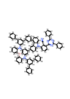 N#Cc1c(-c2nc(-c3ccccc3)nc(-c3ccccc3)n2)cccc1-n1c2ccccc2c2cc(-c3cc4c5c(c3)N(c3cc(-c6ccccc6)cc(-c6ccccc6)c3)c3ccccc3B5c3ccccc3N4c3cc(-c4ccccc4)cc(-c4ccccc4)c3)ccc21